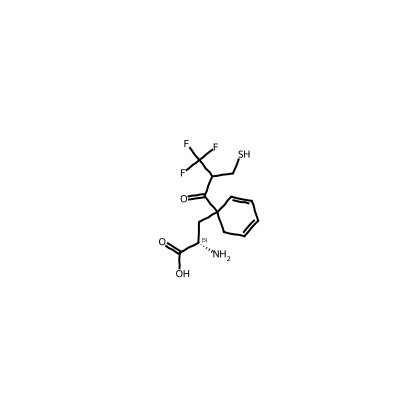 N[C@@H](CC1(C(=O)C(CS)C(F)(F)F)C=CC=CC1)C(=O)O